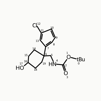 CC(C)(C)OC(=O)NCC1(c2cccc(Cl)c2)CCC(O)CC1